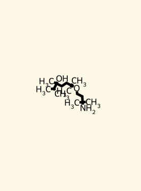 CC(C)C(C)(O)CCC(C)(C)OCCC(C)(C)N